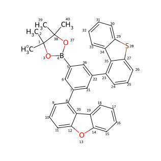 CC1(C)OB(c2cc(-c3cccc4oc5ccccc5c34)cc(-c3cccc4sc5ccccc5c34)c2)OC1(C)C